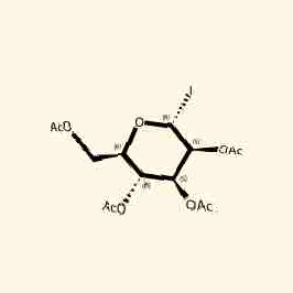 CC(=O)OC[C@H]1O[C@H](I)[C@@H](OC(C)=O)[C@@H](OC(C)=O)[C@@H]1OC(C)=O